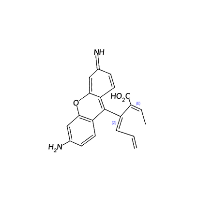 C=C/C=C(\C(=C/C)C(=O)O)c1c2ccc(=N)cc-2oc2cc(N)ccc12